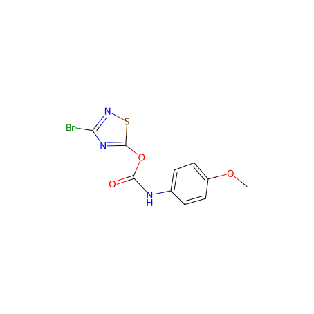 COc1ccc(NC(=O)Oc2nc(Br)ns2)cc1